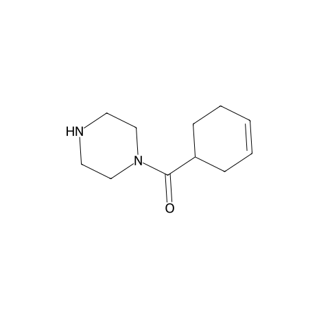 O=C(C1CC=CCC1)N1CCNCC1